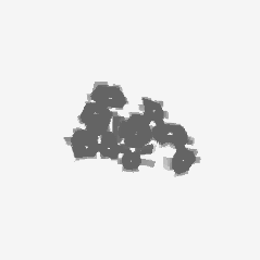 c1ccc(-c2ccc(-c3ccccc3-c3ccc4c(c3)Oc3cc(-c5ccccc5-c5ccc(-c6ccccc6)cc5)cc5c3N4c3ccccc3O5)cc2)cc1